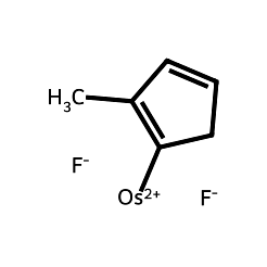 CC1=[C]([Os+2])CC=C1.[F-].[F-]